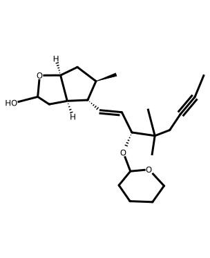 CC#CCC(C)(C)[C@@H](/C=C/[C@@H]1[C@H]2CC(O)O[C@H]2C[C@H]1C)OC1CCCCO1